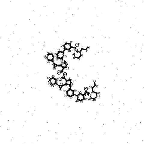 CCCC1CCCCN1C(=O)c1cccc(-c2cccc(-n3ncc(C(=O)OC(=O)c4cnn(-c5cccc(-c6cccc(C(=O)N7CCCCC7CCC)c6)c5)c4C4CC4c4cccnn4)c3C3CC3c3cccnc3)c2)c1